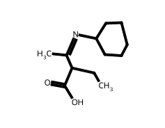 CCC(C(=O)O)/C(C)=N\C1CCCCC1